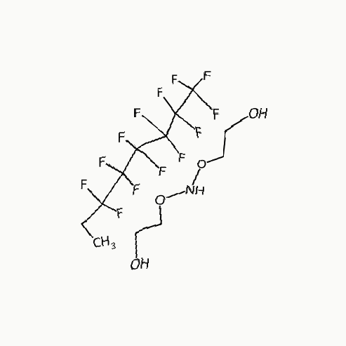 CCC(F)(F)C(F)(F)C(F)(F)C(F)(F)C(F)(F)C(F)(F)F.OCCONOCCO